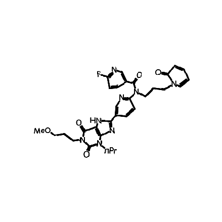 CCCn1c(=O)n(CCCOC)c(=O)c2[nH]c(-c3ccc(N(CCCn4ccccc4=O)C(=O)c4ccc(F)nc4)nc3)nc21